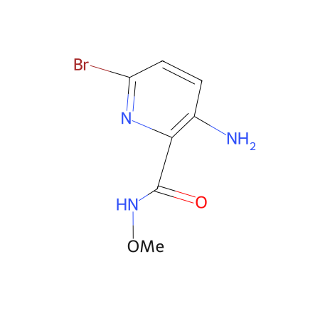 CONC(=O)c1nc(Br)ccc1N